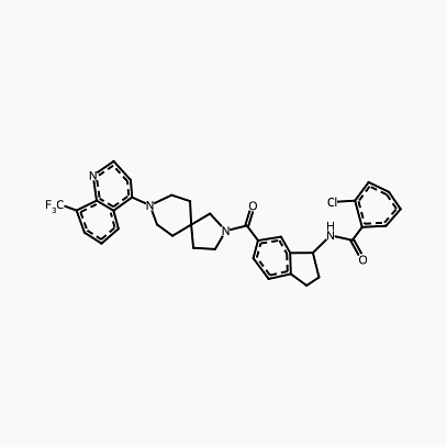 O=C(NC1CCc2ccc(C(=O)N3CCC4(CCN(c5ccnc6c(C(F)(F)F)cccc56)CC4)C3)cc21)c1ccccc1Cl